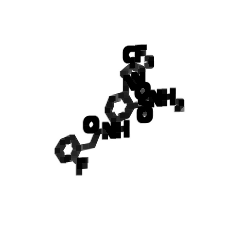 NS(=O)(=O)c1cc(NC(=O)Cc2ccccc2F)ccc1-n1cc(C(F)(F)F)cn1